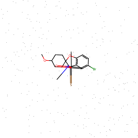 COC1CCC2(CC1)Oc1ccc(Br)cc1C21NC(=S)N(C)C1=O